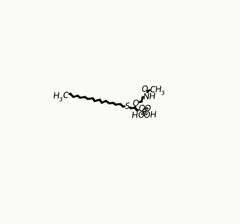 CCCCCCCCCCCCCCCCCSCC(COP(=O)(O)O)OCCNC(C)=O